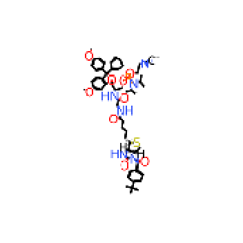 [C-]#[N+]CCOP(OCC(COC(c1ccccc1)(c1ccc(OC)cc1)c1ccc(OC)cc1)NC(=O)CNC(=O)CCCC[C@@H]1SC[C@H]2[C@@H]1NC(=O)N2C(=O)c1ccc(C(C)(C)C)cc1)N(C(C)C)C(C)C